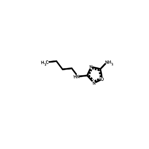 CCCCNc1noc(N)n1